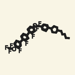 CCCCCC1CCC(c2ccc(C(F)(F)Oc3ccc(-c4ccc(-c5ccc(OC(F)(F)F)c(F)c5)c(F)c4)c(F)c3)cc2)CC1